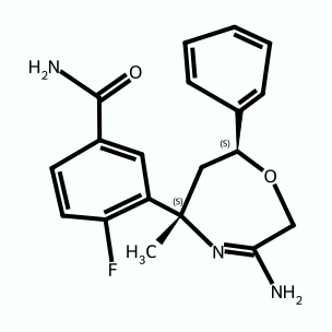 C[C@@]1(c2cc(C(N)=O)ccc2F)C[C@@H](c2ccccc2)OCC(N)=N1